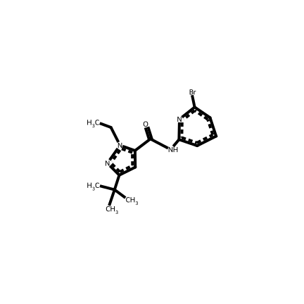 CCn1nc(C(C)(C)C)cc1C(=O)Nc1cccc(Br)n1